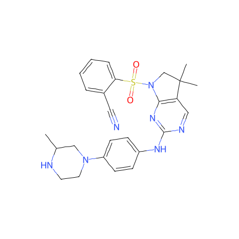 CC1CN(c2ccc(Nc3ncc4c(n3)N(S(=O)(=O)c3ccccc3C#N)CC4(C)C)cc2)CCN1